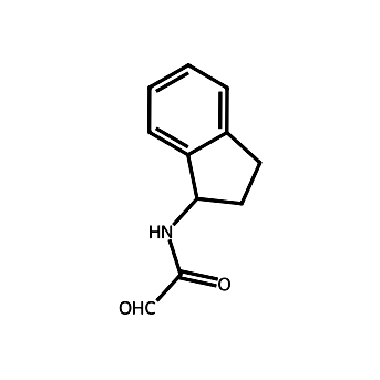 O=CC(=O)NC1CCc2ccccc21